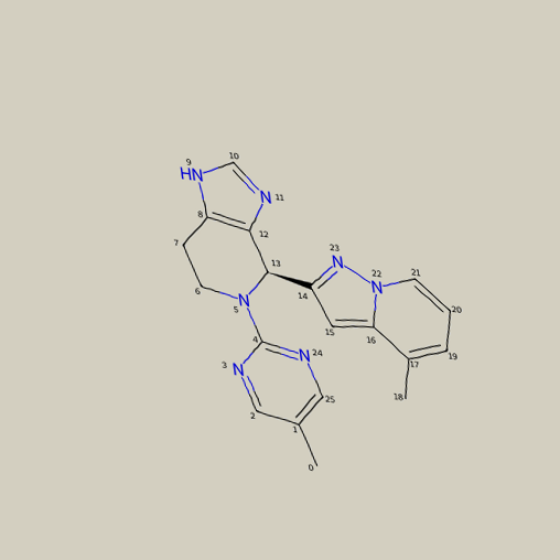 Cc1cnc(N2CCc3[nH]cnc3[C@H]2c2cc3c(C)cccn3n2)nc1